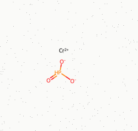 O=[PH]([O-])[O-].[Cr+2]